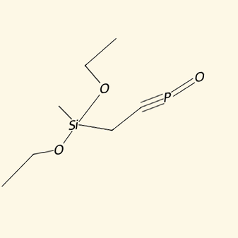 CCO[Si](C)(CC#P=O)OCC